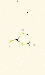 C[C@H]1CSC(=S)S1.I